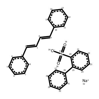 C(/C=C/c1ccccc1)=C\c1ccccc1.O=S(=O)([O-])c1ccccc1-c1ccccc1.[Na+]